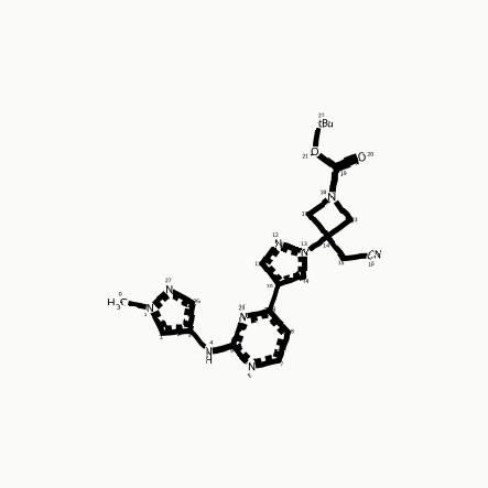 Cn1cc(Nc2nccc(-c3cnn(C4(CC#N)CN(C(=O)OC(C)(C)C)C4)c3)n2)cn1